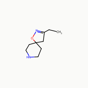 CCC1=NOC2(CCNCC2)C1